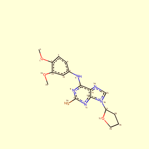 COc1ccc(Nc2nc(S)nc3c2ncn3C2CCCO2)cc1OC